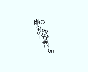 COc1cnc(-c2cc(CNCCO)[nH]n2)c2[nH]cc(C(=O)C(=O)N3CCN(c4nnnn4-c4ccccc4)CC3)c12